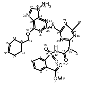 COC(=O)c1ccccc1S(=O)(=O)NC(=O)N(C)c1nc(C)nc(OC)n1.Nn1cnc2c(OCC3CC=CCC3)ncnc21